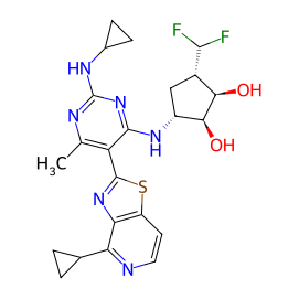 Cc1nc(NC2CC2)nc(N[C@@H]2C[C@H](C(F)F)[C@@H](O)[C@H]2O)c1-c1nc2c(C3CC3)nccc2s1